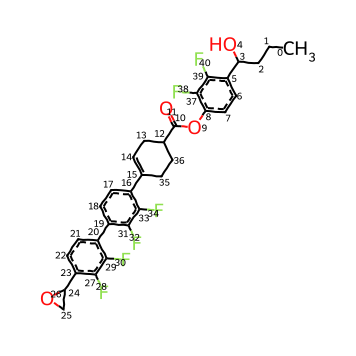 CCCC(O)c1ccc(OC(=O)C2CC=C(c3ccc(-c4ccc(C5CO5)c(F)c4F)c(F)c3F)CC2)c(F)c1F